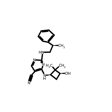 C[C@@H](CNc1ncc(C#N)c(N[C@@H]2C[C@H](O)C2(C)C)n1)c1ccccc1